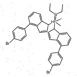 CC[Si](CC)=[Hf]([CH3])([CH3])([CH]1C=Cc2c(-c3ccc(Br)cc3)cccc21)[CH]1C=Cc2c(-c3ccc(Br)cc3)cccc21